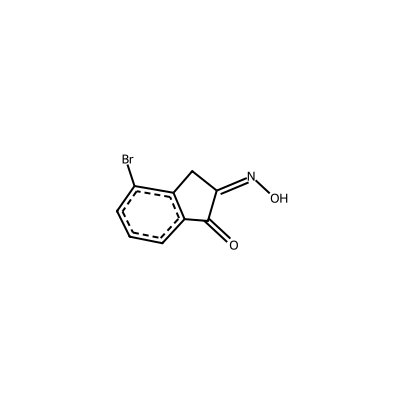 O=C1C(=NO)Cc2c(Br)cccc21